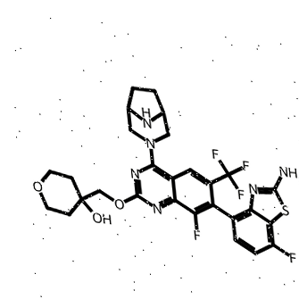 Nc1nc2c(-c3c(C(F)(F)F)cc4c(N5CC6CCC(C5)N6)nc(OCC5(O)CCOCC5)nc4c3F)ccc(F)c2s1